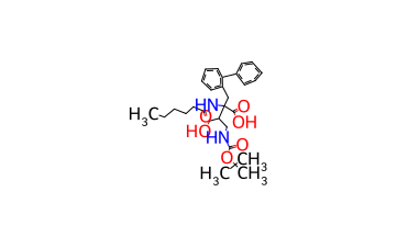 CCCCCC(=O)NC(Cc1ccccc1-c1ccccc1)(C(=O)O)C(CO)CNC(=O)OC(C)(C)C